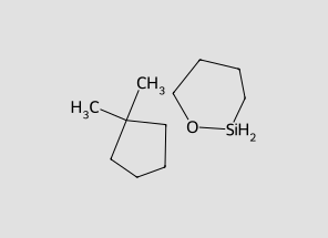 C1CC[SiH2]OC1.CC1(C)CCCC1